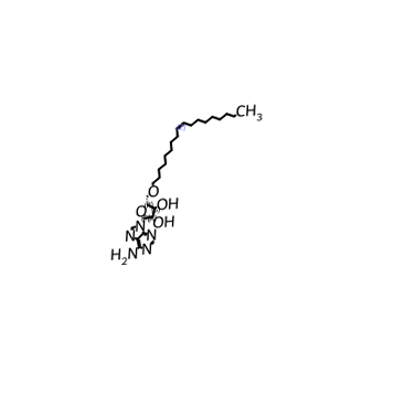 CCCCCCCC/C=C\CCCCCCCCOC[C@H]1O[C@@H](n2cnc3c(N)ncnc32)[C@H](O)[C@@H]1O